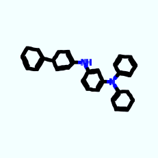 C1=CCCC(C2C=CC(Nc3cccc(N(C4=CC=CCC4)c4ccccc4)c3)=CC2)=C1